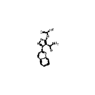 CCCC(=O)Nc1onc(-c2ccc3ccccc3n2)c1C(N)=O